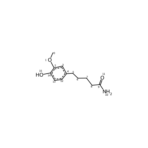 COc1cc(CCCCC(N)=O)ccc1O